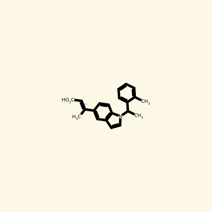 C/C(=C\C(=O)O)c1ccc2c(ccn2C(C)c2ccccc2C)c1